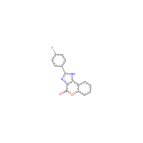 O=c1oc2ccccc2c2[nH]c(-c3ccc(F)cc3)nc12